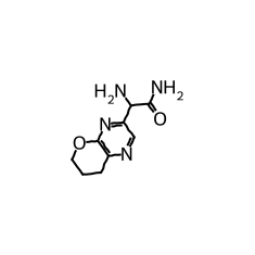 NC(=O)C(N)c1cnc2c(n1)OCCC2